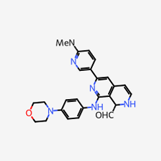 CNc1ccc(-c2cc3c(c(Nc4ccc(N5CCOCC5)cc4)n2)C(C=O)NC=C3)cn1